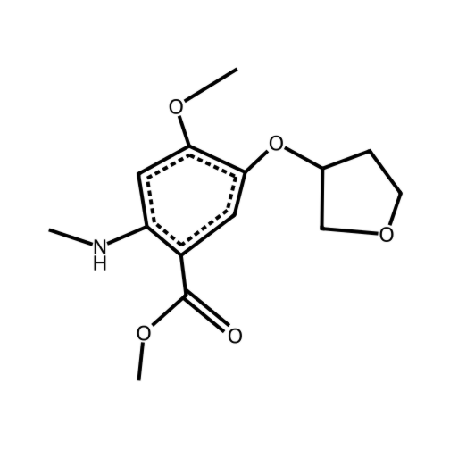 CNc1cc(OC)c(OC2CCOC2)cc1C(=O)OC